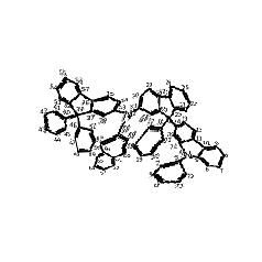 c1ccc(-n2c3ccccc3c3ccc(C4(c5ccccc5)c5ccccc5-c5ccc(N(c6ccc7c(c6)C(c6ccccc6)(c6ccccc6)c6ccccc6-7)c6ccc7ccccc7c6)cc54)cc32)cc1